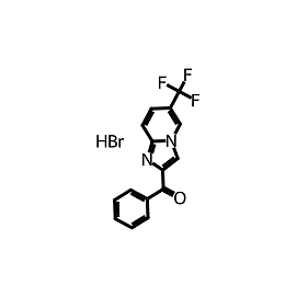 Br.O=C(c1ccccc1)c1cn2cc(C(F)(F)F)ccc2n1